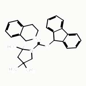 CC1(C)CN(C(=O)OC2c3ccccc3-c3ccccc32)C(C)([C@H]2OCCc3ccccc32)C1